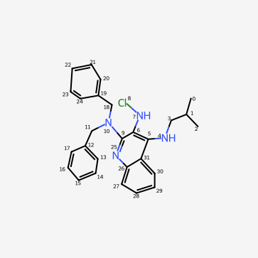 CC(C)CNc1c(NCl)c(N(Cc2ccccc2)Cc2ccccc2)nc2ccccc12